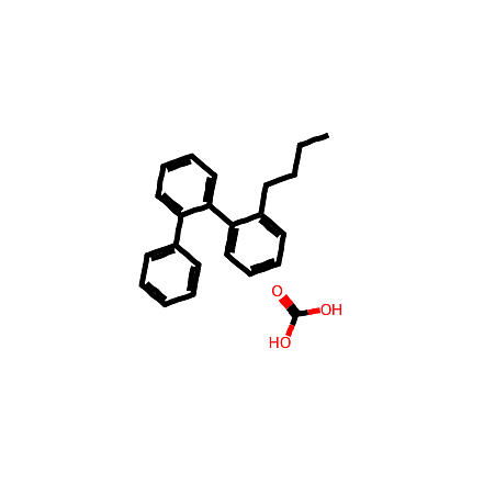 CCCCc1ccccc1-c1ccccc1-c1ccccc1.O=C(O)O